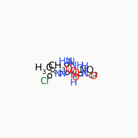 CC1(C)CCC(CN2CCN(c3ccc(C(=O)NS(=O)(=O)c4ccc(NCC5CCOCC5)c([N+](=O)[O-])c4)c(Oc4cccc5[nH]nc(N)c45)c3)CC2)=C(c2ccc(Cl)cc2)C1